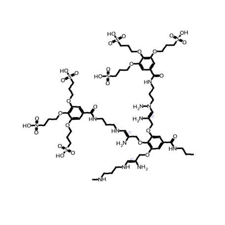 CCCNC(=O)c1cc(OC/C(N)=C/NCCCNC)c(OC/C(N)=C/NCCCNC(=O)c2cc(OCCCS(=O)(=O)O)c(OCCCS(=O)(=O)O)c(OCCCS(=O)(=O)O)c2)c(OC/C(N)=C/N(N)CCCNC(=O)c2cc(OCCCS(=O)(=O)O)c(OCCCS(=O)(=O)O)c(OCCCS(=O)(=O)O)c2)c1